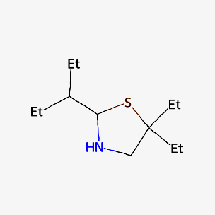 CCC(CC)C1NCC(CC)(CC)S1